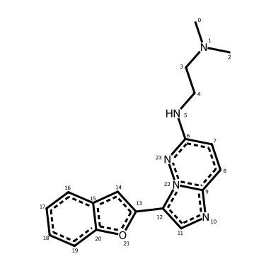 CN(C)CCNc1ccc2ncc(-c3cc4ccccc4o3)n2n1